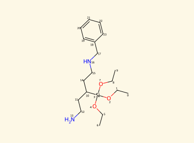 CCO[Si](OCC)(OCC)C(CCN)CCNCc1ccccc1